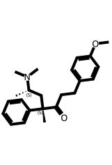 COc1ccc(CCC(=O)[C@@](C)(C[C@H](C)N(C)C)c2ccccc2)cc1